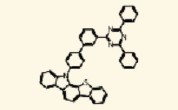 c1ccc(-c2nc(-c3ccccc3)nc(-c3cccc(-c4ccc(-n5c6ccccc6c6ccc7c8ccccc8sc7c65)cc4)c3)n2)cc1